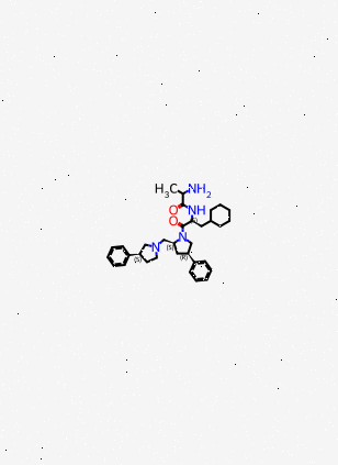 CC(N)C(=O)N[C@@H](CC1CCCCC1)C(=O)N1C[C@@H](c2ccccc2)C[C@H]1CN1CC[C@@H](c2ccccc2)C1